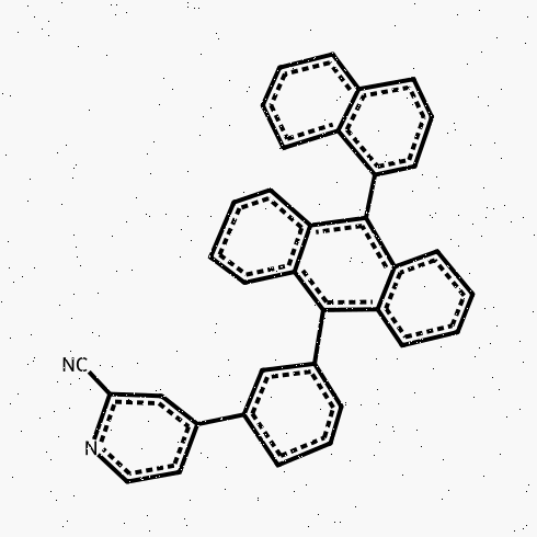 N#Cc1cc(-c2cccc(-c3c4ccccc4c(-c4cccc5ccccc45)c4ccccc34)c2)ccn1